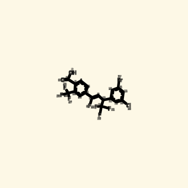 O=C(O)c1ccc(/C(F)=C/C(c2cc(Cl)cc(Br)c2)C(F)(F)F)cc1C(F)(F)F